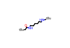 CC(C)(C)CNCCCCCCNC(=O)CC(C)(C)C